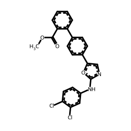 COC(=O)c1ccccc1-c1ccc(-c2cnc(Nc3ccc(Cl)c(Cl)c3)o2)cc1